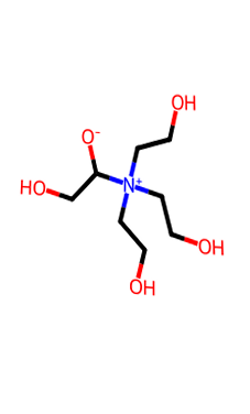 [O-]C(CO)[N+](CCO)(CCO)CCO